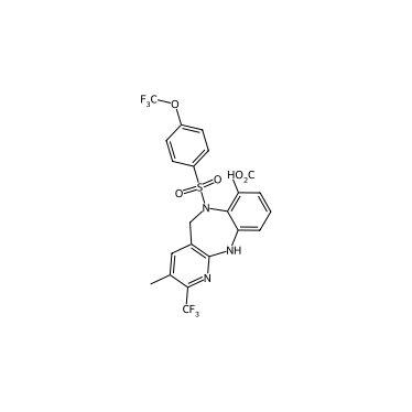 Cc1cc2c(nc1C(F)(F)F)Nc1cccc(C(=O)O)c1N(S(=O)(=O)c1ccc(OC(F)(F)F)cc1)C2